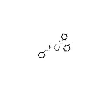 O=C(NCc1ccccc1)[C@@H]1CC[C@H](c2cccc(F)c2)N(S(=O)(=O)c2ccccc2)C1